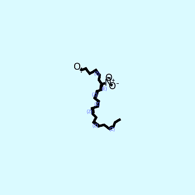 CC/C=C\C/C=C\C\C=C/C=C\C=C/C=C(\C/C=C\CC[C]=O)[N+](=O)[O-]